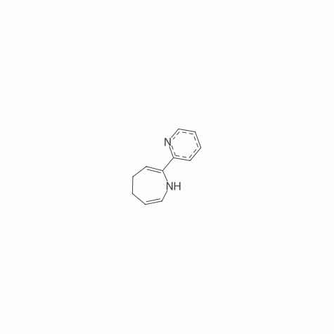 C1=CNC(c2ccccn2)=CCC1